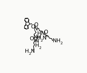 NCCCC[C@H](N)C(=O)NCCCN(CCCNC(=O)[C@@H](N)CCCCN)C(=O)OCC1c2ccccc2-c2ccccc21